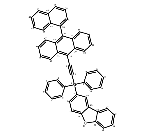 C(#C[Si](c1ccccc1)(c1ccccc1)c1ccc2oc3ccccc3c2c1)c1c2ccccc2c(-c2cccc3ccccc23)c2ccccc12